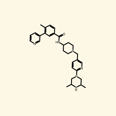 Cc1ccc(C(=O)NC2CCN(Cc3ccc(N4CC(C)NC(C)C4)nc3)CC2)cc1-c1cccnc1